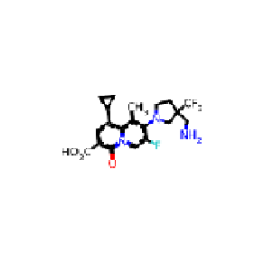 Cc1c(N2CCC(CN)(C(F)(F)F)C2)c(F)cn2c(=O)c(C(=O)O)cc(C3CC3)c12